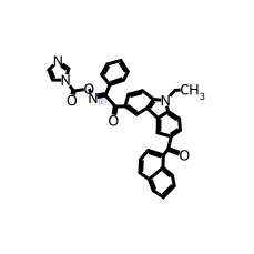 CCn1c2ccc(C(=O)/C(=N/OC(=O)n3ccnc3)c3ccccc3)cc2c2cc(C(=O)c3cccc4ccccc34)ccc21